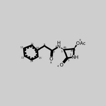 CC(=O)O[C@H]1NC(=O)[C@@H]1NC(=O)Cc1ccccc1